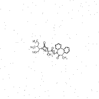 CCC(C)C(CO)n1c(=O)n2n1[C@@]2(C)C(=O)NN1C(=O)C(C)c2ccccc2-c2ccccc21